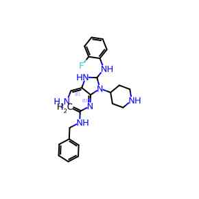 C=C(/N=C1\C(=C/N)NC(Nc2ccccc2F)N1C1CCNCC1)NCc1ccccc1